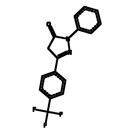 O=C1CC(c2ccc(C(F)(F)F)cc2)=NN1c1ccccc1